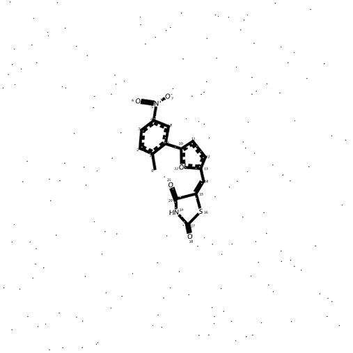 Cc1ccc([N+](=O)[O-])cc1-c1ccc(C=C2SC(=O)NC2=O)o1